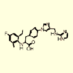 CCc1cc(F)cc(C)c1NC(Cc1ccc(-n2cnc(CNc3ncc[nH]3)c2)cc1)C(=O)O